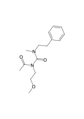 COCCN(C(C)=O)C(=O)N(C)CCc1ccccc1